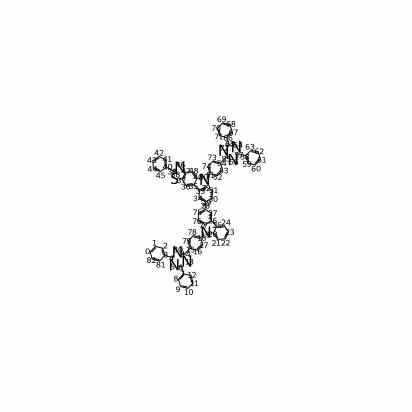 c1ccc(-c2nc(-c3ccccc3)nc(-c3ccc(-n4c5ccccc5c5cc(-c6ccc7c(c6)c6cc8sc(-c9ccccc9)nc8cc6n7-c6ccc(-c7nc(-c8ccccc8)nc(-c8ccccc8)n7)cc6)ccc54)cc3)n2)cc1